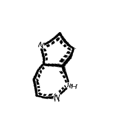 [c]1cnc2ccn[nH]c1-2